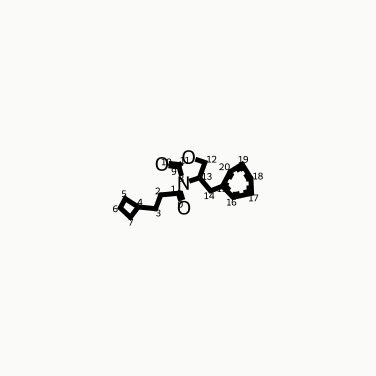 O=C(CCC1CCC1)N1C(=O)OCC1Cc1ccccc1